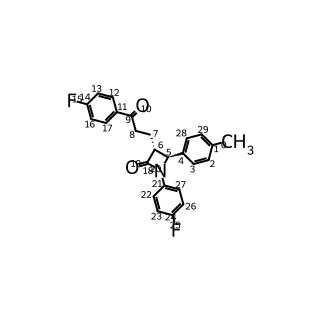 Cc1ccc([C@@H]2[C@@H](CCC(=O)c3ccc(F)cc3)C(=O)N2c2ccc(F)cc2)cc1